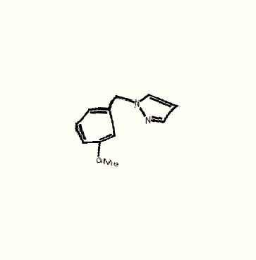 COc1cccc(Cn2c[c]cn2)c1